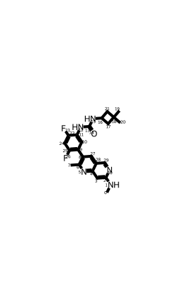 CNc1cc2nc(C)c(-c3cc(NC(=O)NC4CC(C)(C)C4)c(F)cc3F)cc2cn1